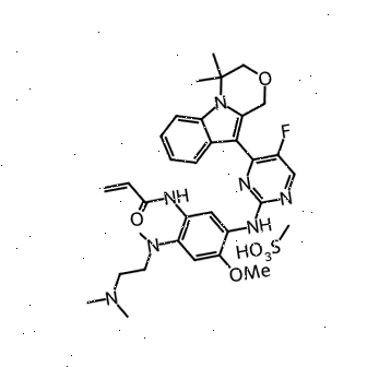 C=CC(=O)Nc1cc(Nc2ncc(F)c(-c3c4n(c5ccccc35)C(C)(C)COC4)n2)c(OC)cc1N(C)CCN(C)C.CS(=O)(=O)O